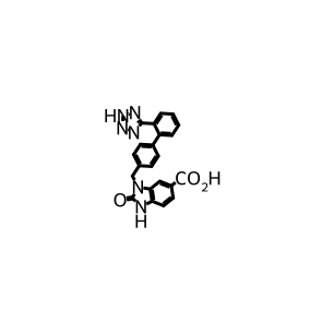 O=C(O)c1ccc2[nH]c(=O)n(Cc3ccc(-c4ccccc4-c4nn[nH]n4)cc3)c2c1